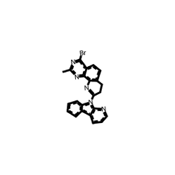 Cc1nc(Br)c2ccc3c(c2n1)N=C(n1c2ccccc2c2cccnc21)CC3